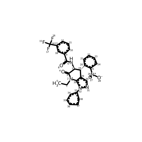 CCN1C(=O)[C@@H](NC(=O)c2cccc(C(F)(F)F)c2)[C@H](c2ccccc2[N+](=O)[O-])c2cnn(-c3ccccc3)c21